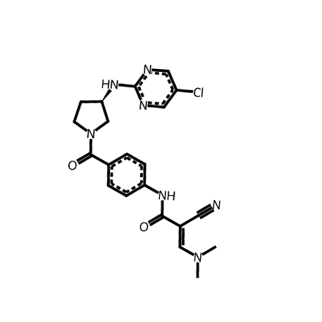 CN(C)/C=C(\C#N)C(=O)Nc1ccc(C(=O)N2CC[C@@H](Nc3ncc(Cl)cn3)C2)cc1